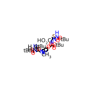 C[n+]1c2ccc(OCC(O/N=C(\C(=O)O)c3csc(NC(=O)OC(C)(C)C)n3)C(=O)OC(C)(C)C)cc2cn1CC(CNC(=O)OC(C)(C)C)O[Si](C)(C)C(C)(C)C